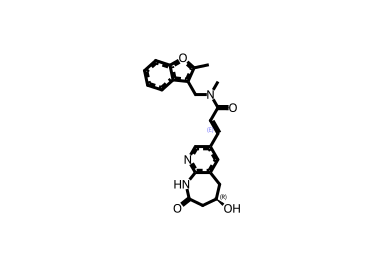 Cc1oc2ccccc2c1CN(C)C(=O)/C=C/c1cnc2c(c1)C[C@@H](O)CC(=O)N2